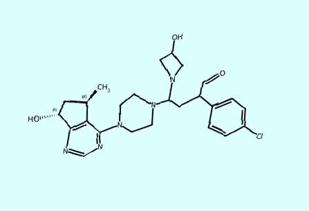 C[C@@H]1C[C@@H](O)c2ncnc(N3CCN(C(CC(C=O)c4ccc(Cl)cc4)N4CC(O)C4)CC3)c21